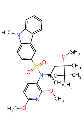 COc1ccc(N(C(C)CC(C)(O[SiH3])C(C)(C)C)S(=O)(=O)c2ccc3c(c2)c2ccccc2n3C)c(OC)n1